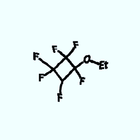 CCOC1(F)C(F)C(F)(F)C1(F)F